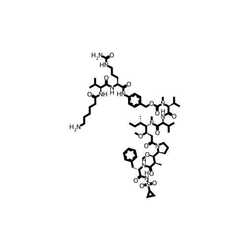 CC[C@H](C)[C@@H]([C@@H](CC(=O)N1CCC[C@H]1[C@H](OC)[C@@H](C)C(=O)N[C@@H](Cc1ccccc1)C(=O)NS(=O)(=O)C1CC1)OC)N(C)C(=O)[C@@H](NC(=O)[C@H](C(C)C)N(C)C(=O)OCc1ccc(NC(=O)[C@H](CCCNC(N)=O)NC(=O)[C@@H](NC(=O)CCCCCN)C(C)C)cc1)C(C)C